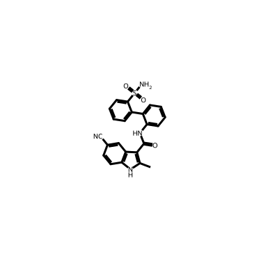 Cc1[nH]c2ccc(C#N)cc2c1C(=O)Nc1ccccc1-c1ccccc1S(N)(=O)=O